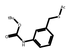 CC(=O)SCc1cccc(NC(=O)OC(C)(C)C)c1